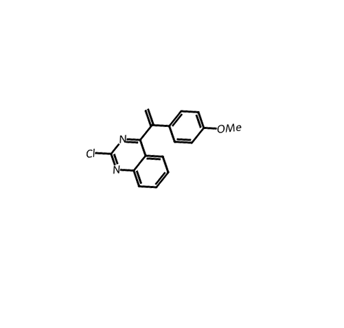 C=C(c1ccc(OC)cc1)c1nc(Cl)nc2ccccc12